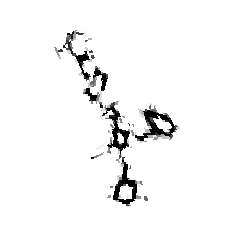 NNC(=O)CN1CCN(n2ccc(-c3cc(Cl)c(OCc4ccccc4)cc3OCc3ccccc3)n2)CC1